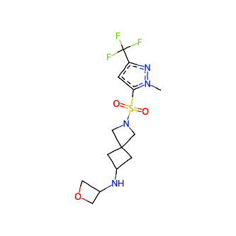 Cn1nc(C(F)(F)F)cc1S(=O)(=O)N1CC2(CC(NC3COC3)C2)C1